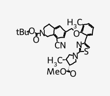 COC(=O)[C@H]1CN(c2nc(-c3cccc(C)c3OCc3cc(C#N)c4c(c3)CCN(C(=O)OC(C)(C)C)C4)cs2)C[C@@H]1C